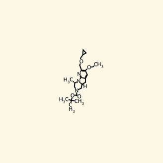 CCOc1cc2c(nc1COCC1CC1)N1[C@H](C2)CN(C(=O)OC(C)(C)C)C[C@H]1C